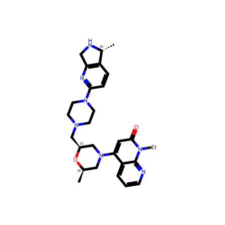 CCn1c(=O)cc(N2C[C@H](CN3CCN(c4ccc5c(n4)CN[C@@H]5C)CC3)O[C@H](C)C2)c2cccnc21